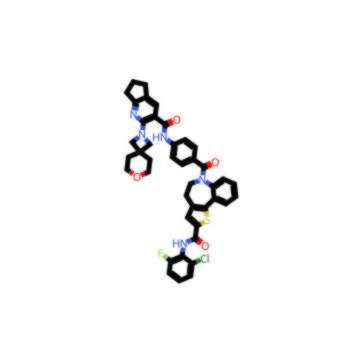 O=C(Nc1c(F)cccc1Cl)c1cc2c(s1)-c1ccccc1N(C(=O)c1ccc(NC(=O)c3cc4c(nc3N3CC5(CCOCC5)C3)CCC4)cc1)CC2